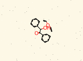 C=COC=C.O=C(c1ccccc1)C(O)c1ccccc1